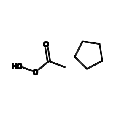 C1CCCC1.CC(=O)OO